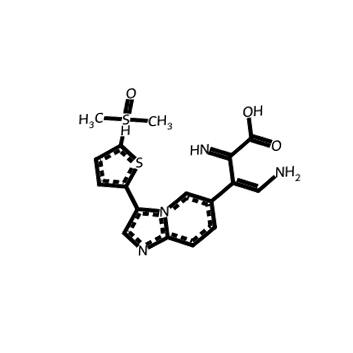 C[SH](C)(=O)c1ccc(-c2cnc3ccc(/C(=C/N)C(=N)C(=O)O)cn23)s1